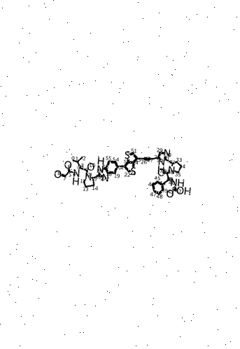 CC(C)[C@@H](NC(=O)C=O)C(=O)N1CCCC1c1nc2cc(-c3csc4c(C#Cc5cnc(C6CCCN6C(=O)[C@H](NC(=O)O)c6ccccc6)[nH]5)csc34)ccc2[nH]1